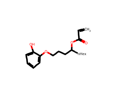 C=CC(=O)OC(CCCCCC)CCCOc1ccccc1O